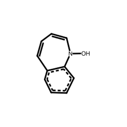 ON1C=CC=Cc2ccccc21